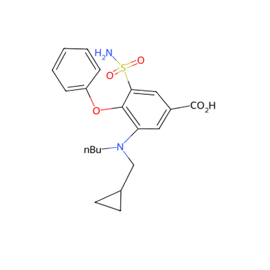 CCCCN(CC1CC1)c1cc(C(=O)O)cc(S(N)(=O)=O)c1Oc1ccccc1